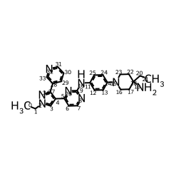 CCn1cc(-c2ccnc(Nc3ccc(N4CCC(N)(CC)CC4)cc3)n2)c(-c2cccnc2)n1